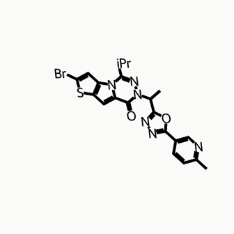 Cc1ccc(-c2nnc(C(C)n3nc(C(C)C)n4c(cc5sc(Br)cc54)c3=O)o2)cn1